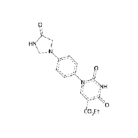 CCOC(=O)c1cn(-c2ccc(N3CNC(=O)C3)cc2)c(=O)[nH]c1=O